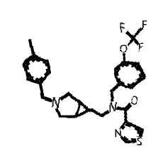 Cc1ccc(CN2CC3C(C2)C3CN(Cc2cccc(OC(F)(F)F)c2)C(=O)c2cscn2)cc1